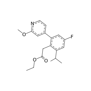 CCOC(=O)Cc1c(-c2ccnc(OC)c2)cc(F)cc1C(C)C